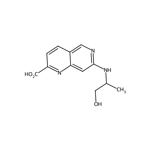 CC(CO)Nc1cc2nc(C(=O)O)ccc2cn1